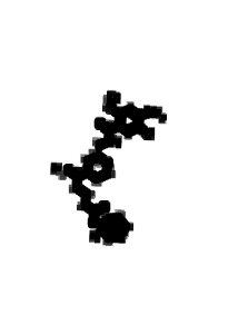 CCOc1cc(N)c(Cl)cc1C(=O)NC[C@@H]1CN(C(C)CCCC(=O)O[C@H]2CN3CCC2CC3)CCO1